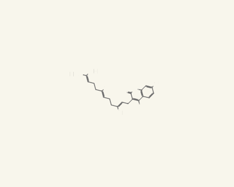 CC(C)=CCC/C(C)=C/CC/C(C)=C/Cc1c(O)c2ccc(O)cc2oc1=O